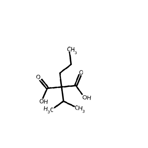 CCCC(C(=O)O)(C(=O)O)C(C)C